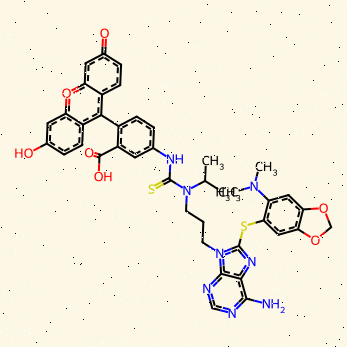 CC(C)N(CCCn1c(Sc2cc3c(cc2N(C)C)OCO3)nc2c(N)ncnc21)C(=S)Nc1ccc(-c2c3ccc(=O)cc-3oc3cc(O)ccc23)c(C(=O)O)c1